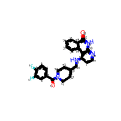 O=C(c1ccc(F)c(F)c1)N1CCC(CNc2ccnc3[nH]c(=O)c4ccccc4c23)CC1